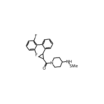 CSNC1CCN(C(=O)C2CC2c2ccccc2-c2c(F)cccc2F)CC1